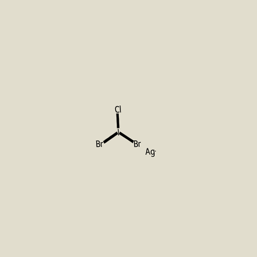 ClI(Br)Br.[Ag]